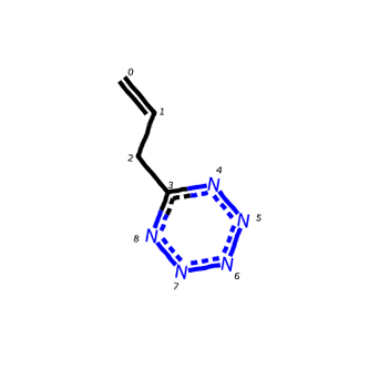 C=CCc1nnnnn1